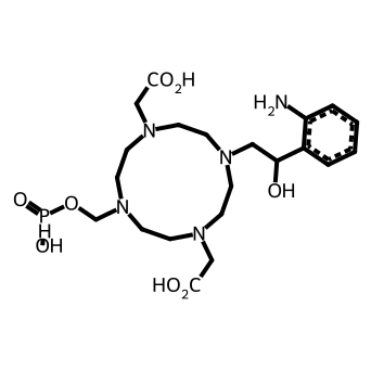 Nc1ccccc1C(O)CN1CCN(CC(=O)O)CCN(CO[PH](=O)O)CCN(CC(=O)O)CC1